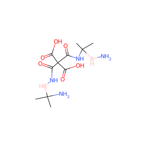 CC(C)(N)BNC(=O)C(C(=O)O)(C(=O)O)C(=O)NC(C)(C)BN